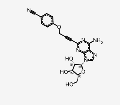 N#Cc1ccc(OCC#Cc2nc(N)c3ncn([C@@H]4O[C@H](CO)[C@@H](O)[C@@H]4O)c3n2)cc1